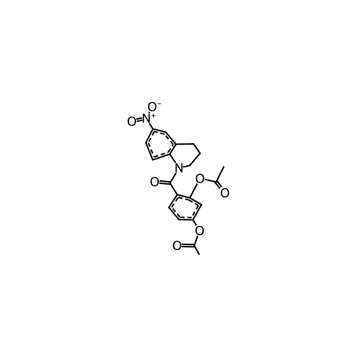 CC(=O)Oc1ccc(C(=O)N2CCCc3cc([N+](=O)[O-])ccc32)c(OC(C)=O)c1